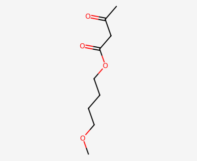 COCCCCOC(=O)CC(C)=O